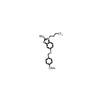 COc1ccc(CSc2ccc3c(c2)nc(C(C)(C)C)n3CCCC(F)(F)F)cc1